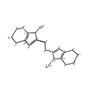 [Li][CH]1C(CCC2=CC3=C(CCCC3)[CH]2[Li])=CC2=C1CCCC2